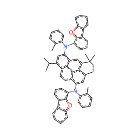 Cc1ccccc1N(c1cc(C(C)C)c2ccc3c(N(c4ccccc4C)c4cccc5c4oc4ccccc45)cc4c5c(cc1c2c35)C(C)(C)CC4)c1cccc2c1oc1ccccc12